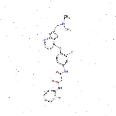 CN(C)Cc1cc2nccc(Oc3ccc(NC(=O)CC(=O)Nc4ccccc4F)cc3F)c2s1